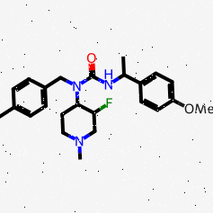 COc1ccc(C(C)NC(=O)N(Cc2ccc(C)cc2)C2CCN(C)CC2F)cc1